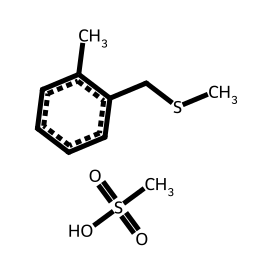 CS(=O)(=O)O.CSCc1ccccc1C